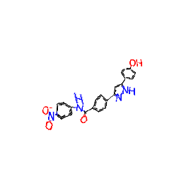 O=C(Nc1ccc([N+](=O)[O-])cc1)c1ccc(-c2cc(-c3ccc(O)cc3)[nH]n2)cc1